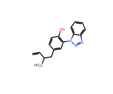 C=CC(Cc1ccc(O)c(-n2nnc3ccccc32)c1)C(=O)O